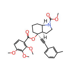 COC(=O)N1CC[C@@H]2[C@H]1CCC[C@]2(C#Cc1cccc(C)c1)OC(=O)c1ccc(OC)c(OC)c1OC